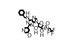 COc1cncc(-c2nc(NCc3ccccc3)c3ncn([C@@H]4O[C@H](C(=O)NCC(F)(F)F)[C@@H](O)[C@H]4O)c3n2)c1